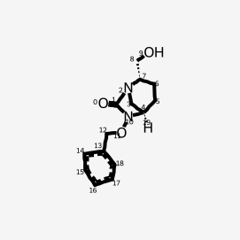 O=C1N2C[C@@H](CC[C@H]2CO)N1OCc1ccccc1